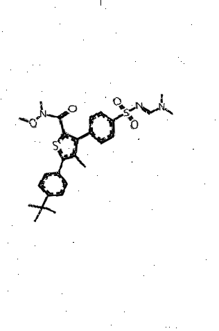 CON(C)C(=O)c1sc(-c2ccc(C(C)(C)C)cc2)c(C)c1-c1ccc(S(=O)(=O)N=CN(C)C)cc1